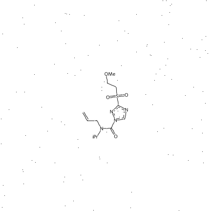 C=CCN(C(=O)n1cnc(S(=O)(=O)CCOC)n1)C(C)C